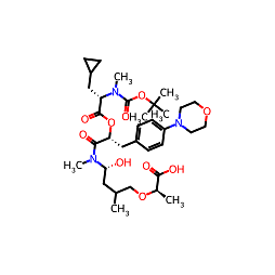 CC(CO[C@H](C)C(=O)O)C[C@@H](O)N(C)C(=O)[C@@H](Cc1ccc(N2CCOCC2)cc1)OC(=O)[C@H](CC1CC1)N(C)C(=O)OC(C)(C)C